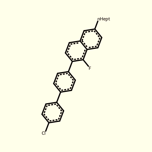 CCCCCCCc1ccc2c(F)c(-c3ccc(-c4ccc(Cl)cc4)cc3)ccc2c1